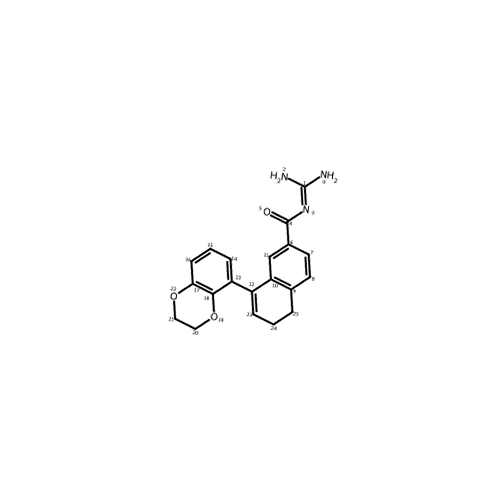 NC(N)=NC(=O)c1ccc2c(c1)C(c1cccc3c1OCCO3)=CCC2